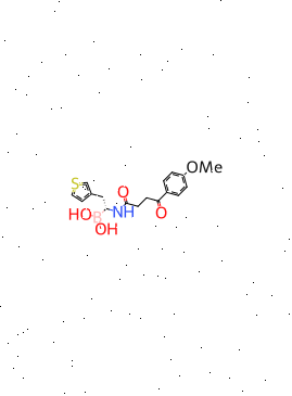 COc1ccc(C(=O)CCC(=O)N[C@@H](Cc2ccsc2)B(O)O)cc1